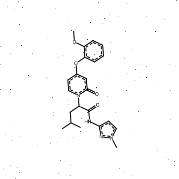 COc1ccccc1Oc1ccn(C(CC(C)C)C(=O)Nc2ccn(C)n2)c(=O)c1